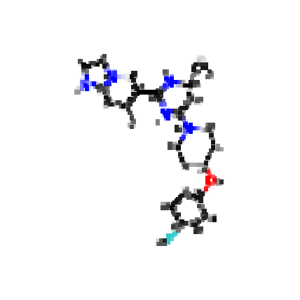 Cc1cc2nccn2cc1-c1nc(N2CCC(Oc3ccc(F)cc3)CC2)cc(C(F)(F)F)n1